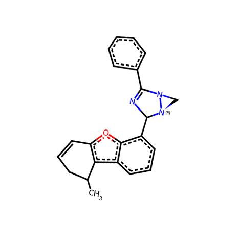 CC1CC=Cc2oc3c(C4N=C(c5ccccc5)N5C[N@@]45)cccc3c21